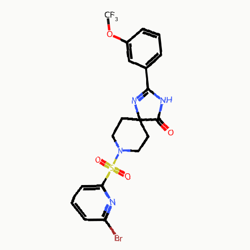 O=C1NC(c2cccc(OC(F)(F)F)c2)=NC12CCN(S(=O)(=O)c1cccc(Br)n1)CC2